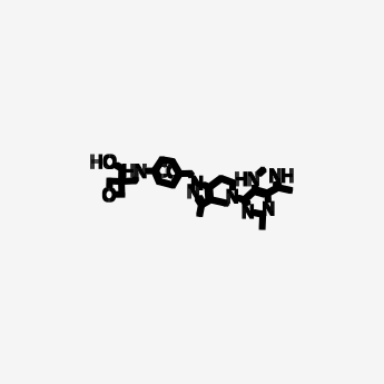 CNc1c(C(C)=N)nc(C)nc1N1CCc2c(c(C)nn2CC23CCC(NCC4(CO)COC4)(CC2)CC3)C1